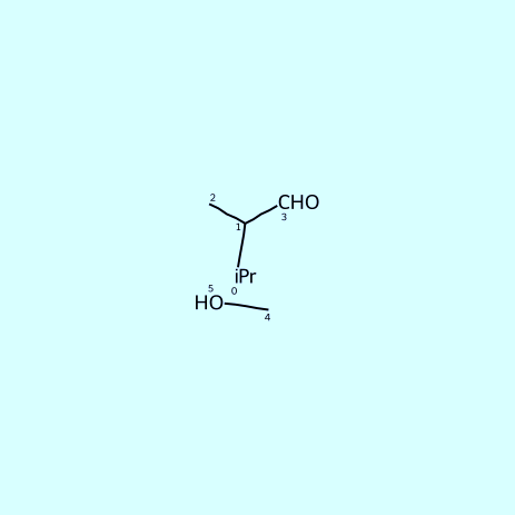 CC(C)C(C)C=O.CO